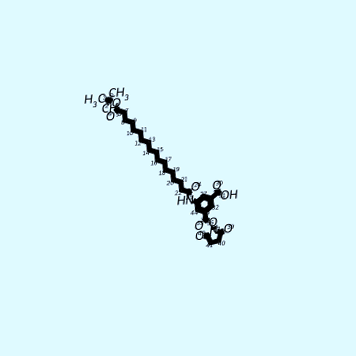 CC(C)(C)OC(=O)CCCCCCCCCCCCCCCCC(=O)Nc1cc(C(=O)O)cc(C(=O)ON2C(=O)CCC2=O)c1